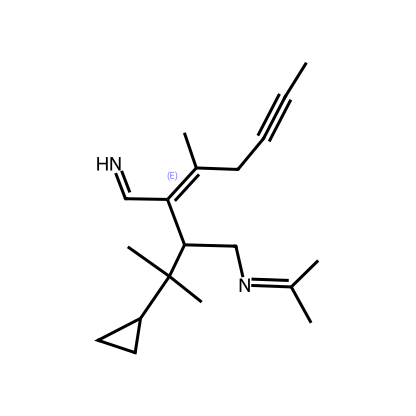 CC#CC/C(C)=C(/C=N)C(CN=C(C)C)C(C)(C)C1CC1